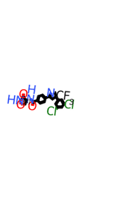 O=C(N[C@@H]1CONC1=O)c1ccc(C2=NCC(c3cc(Cl)cc(Cl)c3)(C(F)(F)F)C2)cc1